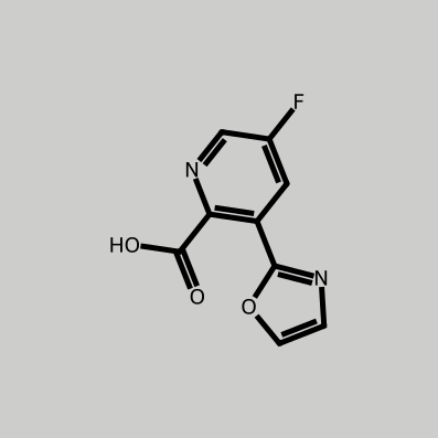 O=C(O)c1ncc(F)cc1-c1ncco1